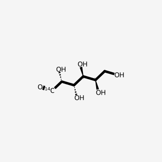 O=[14CH][C@H](O)[C@@H](O)[C@@H](O)[C@H](O)CO